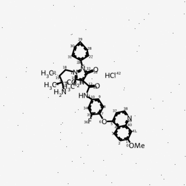 COc1ccc2c(Oc3ccc(NC(=O)c4c(C)n(C[C@@H](C)[C@](C)(N)C(=O)O)n(-c5ccccc5)c4=O)cc3F)ccnc2c1.Cl